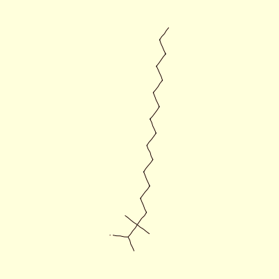 [CH2]C(C)C(C)(C)CCCCCCCCCCCCCCC